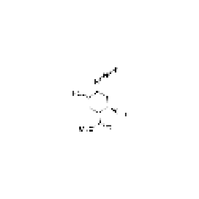 COC(=O)[C@H]1C[C@@H](O)[C@H](N=[N+]=[N-])C[C@H]1C